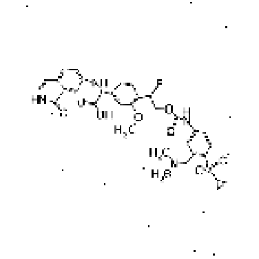 BN(C)Cc1cc(NC(=O)OC[C@H](F)c2ccc(C(Nc3ccc4cc[nH]c(=O)c4c3)C(=O)O)cc2OC)ccc1S(=O)(=O)C1CC1